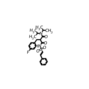 CC(C)N(C(=O)C(Cc1ccc(F)cc1)C(=O)NS(=O)(=O)/C=C/c1ccccc1)C(C)C